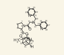 CC12OB(C3CCCN3C(=O)CN(Cc3ccccn3)Cc3ccccn3)OC1C[C@@H]1CC2C1(C)C